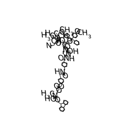 COc1ccc(C(OC[C@H]2O[C@@H](N3C=CC(NC(=O)c4ccc(CNC(=O)Cc5ccc(OC(=O)OCCN(C)[C@H](O)OCC6c7ccccc7-c7ccccc76)cc5)cc4)=N[C@H]3O)CC2OP(OCCC#N)N(C(C)C)C(C)C)(c2ccccc2)c2ccc(OC)cc2)cc1